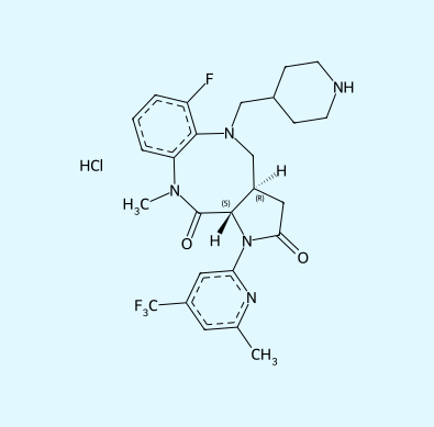 Cc1cc(C(F)(F)F)cc(N2C(=O)C[C@@H]3CN(CC4CCNCC4)c4c(F)cccc4N(C)C(=O)[C@H]32)n1.Cl